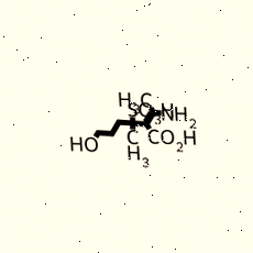 CC(N)=C(C(=O)O)C(C)(CCCO)S(=O)(=O)O